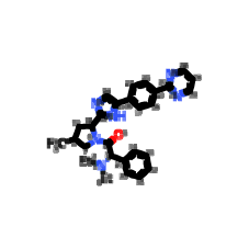 CCN(CC)[C@H](C(=O)N1CC(C(F)(F)F)CC1c1ncc(-c2ccc(-c3ncccn3)cc2)[nH]1)c1ccccc1